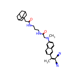 CC(=C(C#N)C#N)c1ccc2cc(N(C)CC(=O)NCCCNC(=O)CC34CC5CC(CC(C5)C3)C4)ccc2c1